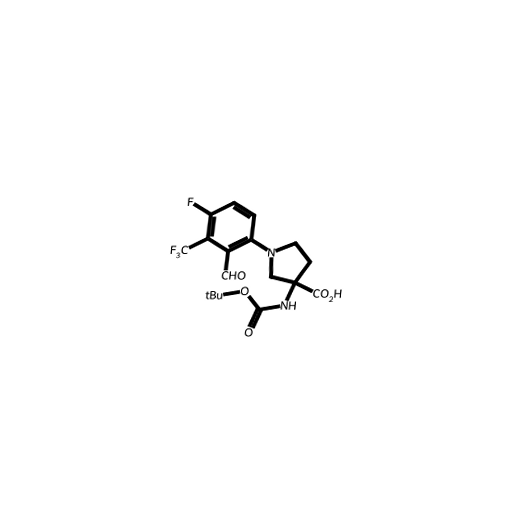 CC(C)(C)OC(=O)NC1(C(=O)O)CCN(c2ccc(F)c(C(F)(F)F)c2C=O)C1